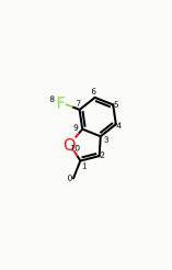 Cc1cc2cccc(F)c2o1